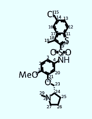 COc1ccc(NS(=O)(=O)c2sc3ccc(Cl)cc3c2C)cc1OC[C@@H]1CCCN1C